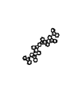 c1cc2c3c(c1)-c1cc4c5cccc6c5n(c4cc1C3c1cccc3c1B2c1ccc(-n2c4ccccc4c4ccccc42)c2c4ccccc4n-3c12)-c1cccc2c1B6c1ccc(-n3c4ccccc4c4ccccc43)c3c4ccccc4n-2c13